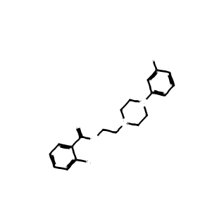 Nc1ccccc1C(=O)OCCN1CCN(c2cccc(Cl)c2)CC1